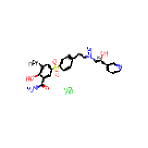 CCCc1cc(S(=O)(=O)c2ccc(CCNC[C@@H](O)c3cccnc3)cc2)cc(C(N)=O)c1O.Cl.Cl